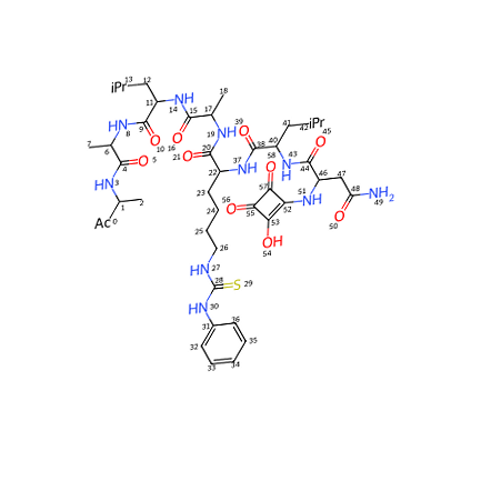 CC(=O)C(C)NC(=O)C(C)NC(=O)C(CC(C)C)NC(=O)C(C)NC(=O)C(CCCCNC(=S)Nc1ccccc1)NC(=O)C(CC(C)C)NC(=O)C(CC(N)=O)Nc1c(O)c(=O)c1=O